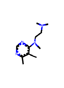 Cc1ncnc(N(C)CCN(C)C)c1C